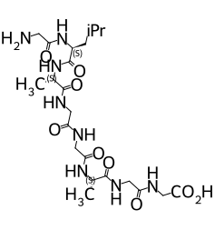 CC(C)C[C@H](NC(=O)CN)C(=O)N[C@@H](C)C(=O)NCC(=O)NCC(=O)N[C@@H](C)C(=O)NCC(=O)NCC(=O)O